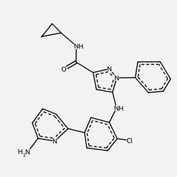 Nc1cccc(-c2ccc(Cl)c(Nc3cc(C(=O)NC4CC4)nn3-c3ccccc3)c2)n1